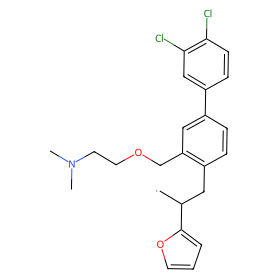 [CH2]C(Cc1ccc(-c2ccc(Cl)c(Cl)c2)cc1COCCN(C)C)c1ccco1